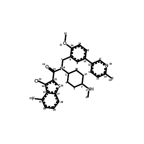 CNC1CCC(N(Cc2cc(-c3ccc(F)nc3)ccc2OC)C(=O)c2sc3cccc(F)c3c2Cl)CC1